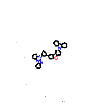 c1cc(-c2ccc3oc4ccc(-n5c6ccccc6c6ccccc65)cc4c3c2)cc(-n2c3ccccc3n3c4ccccc4nc23)c1